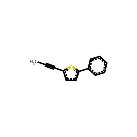 CC#Cc1ccc(-c2ccccc2)s1